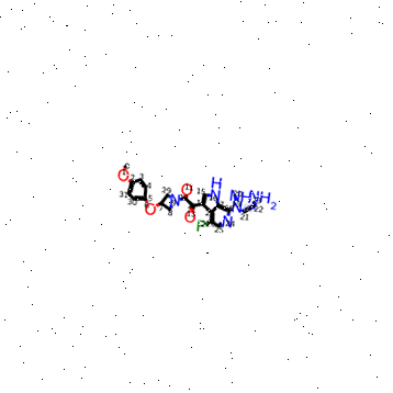 COc1ccc(OC2CN(C(=O)C(=O)c3c[nH]c4c(N(N)/C=C\N)ncc(F)c34)C2)cc1